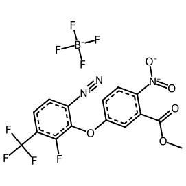 COC(=O)c1cc(Oc2c([N+]#N)ccc(C(F)(F)F)c2F)ccc1[N+](=O)[O-].F[B-](F)(F)F